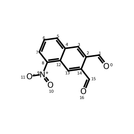 O=Cc1cc2cccc([N+](=O)[O-])c2cc1C=O